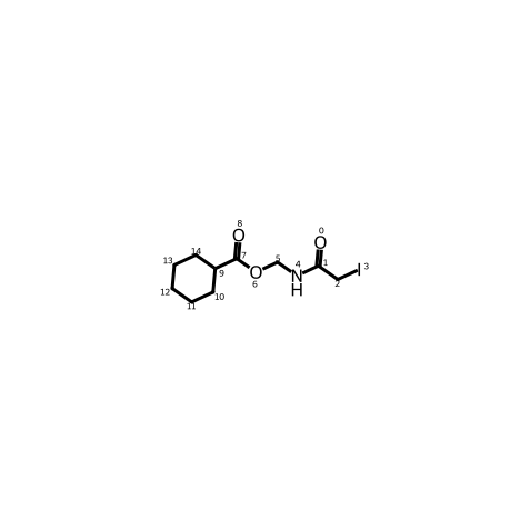 O=C(CI)NCOC(=O)C1CCCCC1